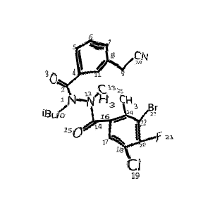 CCC(C)N(C(=O)c1cccc(CC#N)c1)N(C)C(=O)c1cc(Cl)c(F)c(Br)c1C